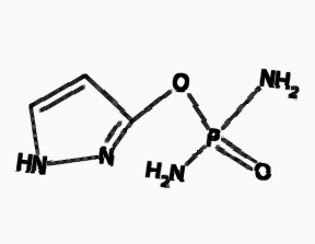 NP(N)(=O)Oc1cc[nH]n1